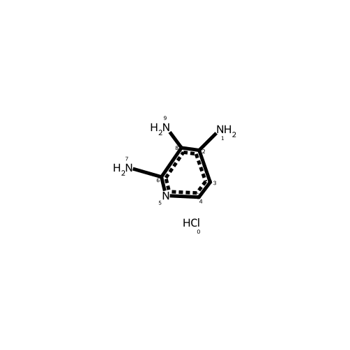 Cl.Nc1ccnc(N)c1N